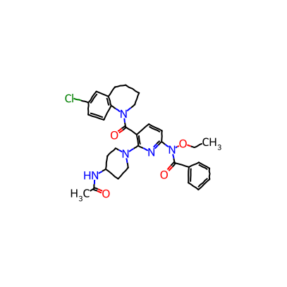 CCON(C(=O)c1ccccc1)c1ccc(C(=O)N2CCCCc3cc(Cl)ccc32)c(N2CCC(NC(C)=O)CC2)n1